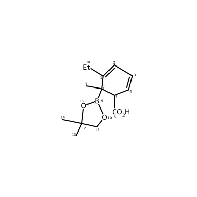 CCC1=CC=CC(C(=O)O)C1(C)B1OCC(C)(C)O1